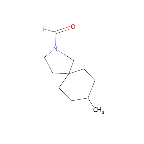 CC1CCC2(CC1)CCN(C(=O)I)C2